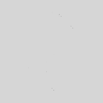 Cc1c(Oc2cccc(N)c2)c(=O)oc2cc(-c3nccc[n+]3[O-])ccc12